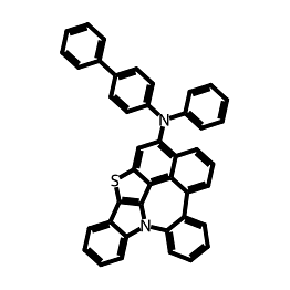 c1ccc(-c2ccc(N(c3ccccc3)c3cc4sc5c6ccccc6n6c7ccccc7c7cccc3c7c4c56)cc2)cc1